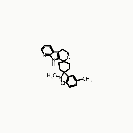 Cc1cccc(C2(N(C)C)CCC3(CC2)OCCc2c3[nH]c3ncccc23)c1